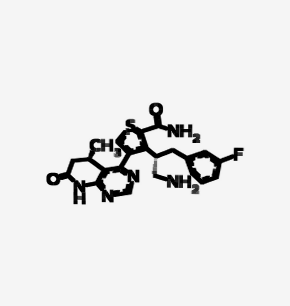 C[C@@H]1CC(=O)Nc2ncnc(-c3csc(C(N)=O)c3[C@@H](CN)Cc3cccc(F)c3)c21